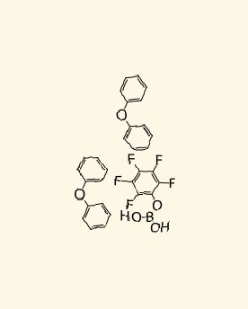 OB(O)Oc1c(F)c(F)c(F)c(F)c1F.c1ccc(Oc2ccccc2)cc1.c1ccc(Oc2ccccc2)cc1